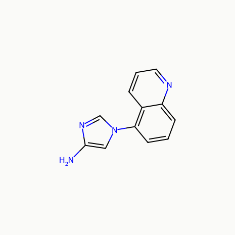 Nc1cn(-c2cccc3ncccc23)cn1